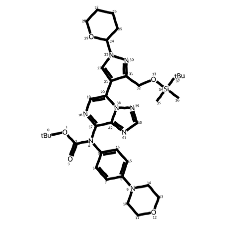 CC(C)(C)OC(=O)N(c1ccc(N2CCOCC2)cc1)c1ncc(-c2cn(C3CCCCO3)nc2CO[Si](C)(C)C(C)(C)C)n2ncnc12